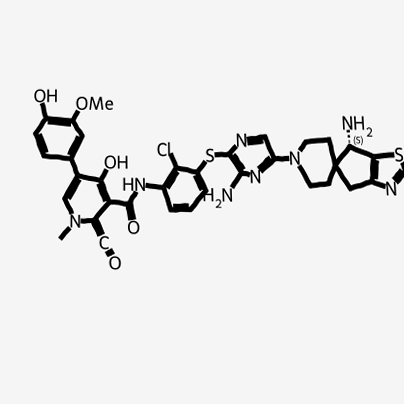 COc1cc(C2=CN(C)C(=C=O)C(C(=O)Nc3cccc(Sc4ncc(N5CCC6(CC5)Cc5ncsc5[C@H]6N)nc4N)c3Cl)=C2O)ccc1O